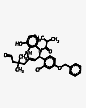 CC(C)C(=O)N1c2cccc(O)c2NC(CC(C)(C)CC=O)=C[C@@H]1c1ccc(OCc2ccccc2)cc1Cl